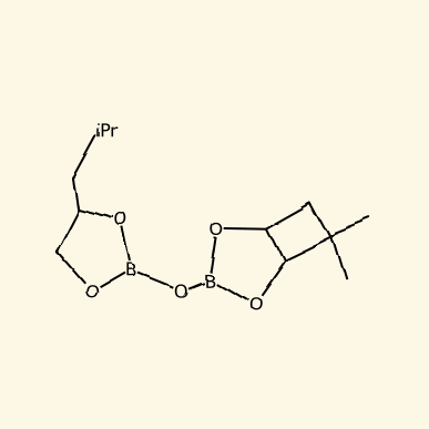 CC(C)CC1COB(OB2OC3CC(C)(C)C3O2)O1